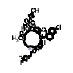 CN1CC/C=C/[C@H](OCCN2CC(F)(F)C2)[C@@H]2CC[C@H]2CN2C[C@@]3(CCCc4cc(Cl)ccc43)COc3ccc(cc32)C(O)(C(=O)NS(=O)(=O)N2CC(O)C2)CC1=O